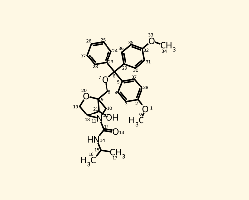 COc1ccc(C(OCC23CN(C(=O)NC(C)C)C(CO2)C3O)(c2ccccc2)c2ccc(OC)cc2)cc1